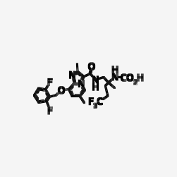 Cc1cc(OCc2c(F)cccc2F)c2nc(C)c(C(=O)NCC(C)(CCC(F)(F)F)NC(=O)O)n2c1